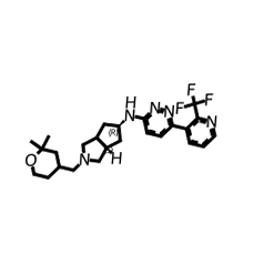 CC1(C)CC(CN2CC3C[C@@H](Nc4ccc(-c5cccnc5C(F)(F)F)nn4)C[C@@H]3C2)CCO1